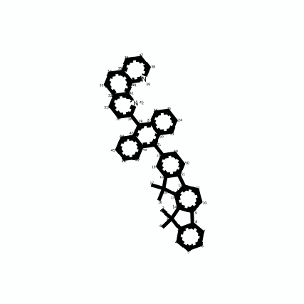 CC1(C)c2ccccc2-c2ccc3c(c21)C(C)(C)c1cc(-c2c4ccccc4c(-c4ccc5ccc6cccnc6c5n4)c4ccccc24)ccc1-3